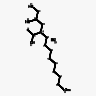 CCCCCCCCCCCCCCCCCCN(CC(O)CO)C(C)O.Cl